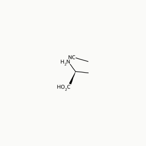 CC#N.C[C@H](N)C(=O)O